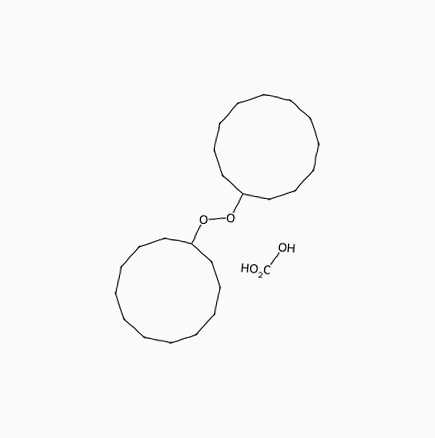 C1CCCCCC(OOC2CCCCCCCCCCC2)CCCCC1.O=C(O)O